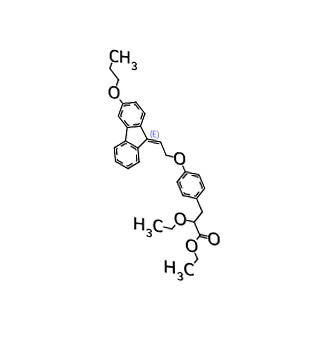 CCCOc1ccc2c(c1)-c1ccccc1/C2=C\COc1ccc(CC(OCC)C(=O)OCC)cc1